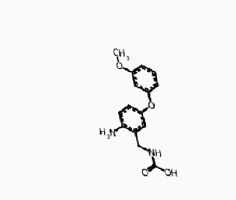 COc1cccc(Oc2ccc(N)c(CNC(=O)O)c2)c1